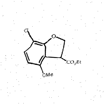 CCOC(=O)C1COc2c(Cl)ccc(OC)c21